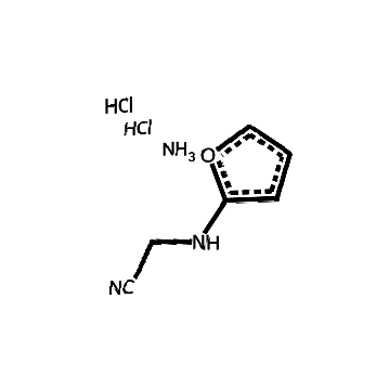 Cl.Cl.N.N#CCNc1ccco1